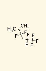 CC(C)C(F)(F)CC(F)(F)C(F)(F)F